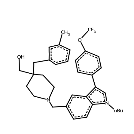 CCCCn1cc(-c2ccc(OC(F)(F)F)cc2)c2cc(CN3CCC(CO)(Cc4cccc(C)c4)CC3)ccc21